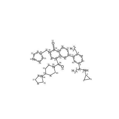 C=C(NC1CC1)c1ccc(C)c(-c2ccc3c(=O)n(Cc4ccncc4)cc(C(=O)N4CCC(N5CCCC5)CC4)c3c2)c1